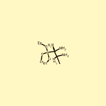 CCO[Si](OCC)(OCC)C(N)(N)C(C)(N)N